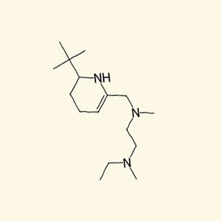 CCN(C)CCN(C)CC1=CCCC(C(C)(C)C)N1